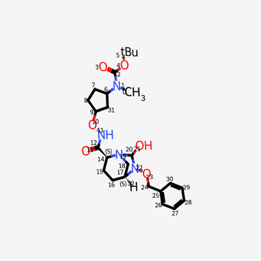 CN(C(=O)OC(C)(C)C)C1CCC(ONC(=O)[C@@H]2CC[C@H]3CN2C(O)N3OCc2ccccc2)C1